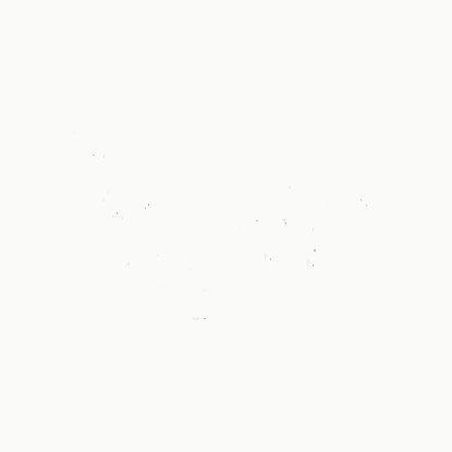 CN(C)CC=C(C#N)C(=O)c1cc2cc(OC3CCN(C(=O)OC(C)(C)C)CC3)c(Br)cc2[nH]1